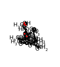 CCCO[C@H](C[C@H](C(C)C)N(CCC)C(=O)[C@@H](NC(=O)[C@H]([C@@H](C)CC)N(C)C(=O)OCc1ccc(NC(=O)[C@H](CCCNC(N)=O)NC(=O)[C@@H](NC(=O)CCCCCN2C(=O)C=CC2=O)C(C)C)cc1)[C@@H](C)CC)c1nc(C(=O)N[C@@H](Cc2ccccc2)C[C@H](C)C(=O)O)cs1